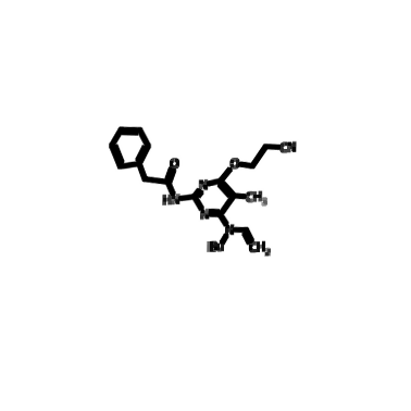 C=CN(c1nc(NC(=O)Cc2ccccc2)nc(OCCC#N)c1C)C(C)CC